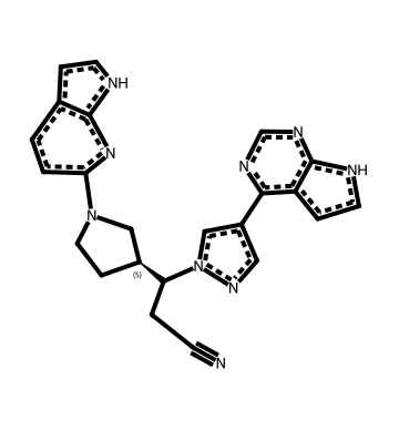 N#CCC([C@H]1CCN(c2ccc3cc[nH]c3n2)C1)n1cc(-c2ncnc3[nH]ccc23)cn1